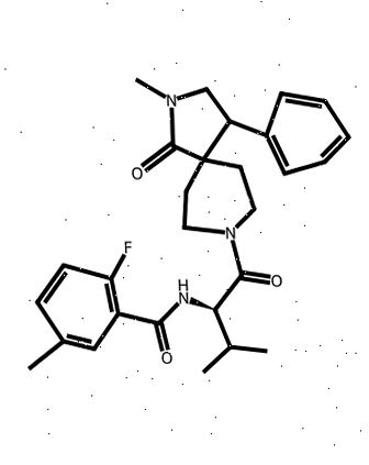 Cc1ccc(F)c(C(=O)N[C@@H](C(=O)N2CCC3(CC2)C(=O)N(C)CC3c2ccccc2)C(C)C)c1